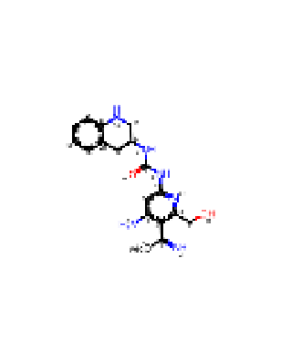 COC(=N)c1c(N)cc(NC(=O)NC2CNc3ccccc3C2)nc1CO